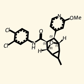 COc1cc([C@@H]2[C@H](C(=O)Nc3ccc(Cl)c(Cl)c3)[C@@H]3O[C@H]2C2C(C)C23)ccn1